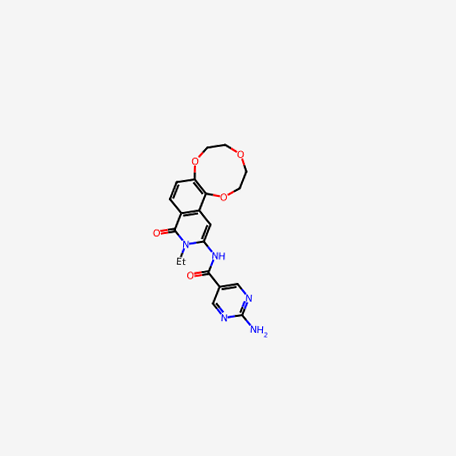 CCn1c(NC(=O)c2cnc(N)nc2)cc2c3c(ccc2c1=O)OCCOCCO3